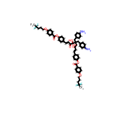 Nc1ccc(CC(CC(=O)C=Cc2ccc(OC(=O)c3ccc(OCCCC(F)(F)C(F)(F)F)cc3)cc2)(Cc2ccc(N)cc2)C(O)(O)C(=O)C=Cc2ccc(OC(=O)c3ccc(OCCCC(F)(F)C(F)(F)F)cc3)cc2)cc1